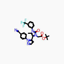 Cc1c(-c2ccnn2-c2ccc(C#N)cc2)n(CC(=O)OC(C)(C)C)c(=O)n1-c1cccc(C(F)(F)F)c1